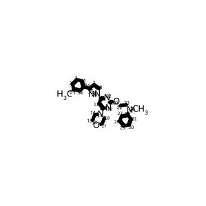 Cc1cccc(-c2ccn(-c3cc(N4CCOCC4)nc(OCCN(C)c4ccccc4)n3)n2)c1